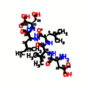 CC(C)C[C@H](NC(=O)[C@H](CC(C)C)NC(=O)[C@@H](NC(=O)[C@@H](N)CC(=O)O)C(C)C)C(=O)N[C@@H](CO)C(=O)O